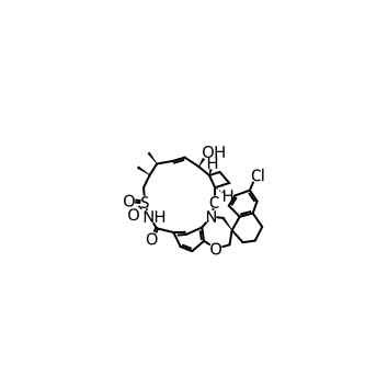 C[C@@H]1CS(=O)(=O)NC(=O)c2ccc3c(c2)N(C[C@@H]2CC[C@H]2[C@H](O)/C=C\[C@@H]1C)C[C@@]1(CCCc2cc(Cl)ccc21)CO3